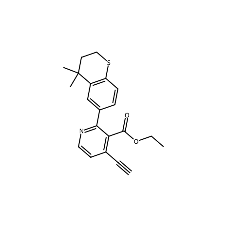 C#Cc1ccnc(-c2ccc3c(c2)C(C)(C)CCS3)c1C(=O)OCC